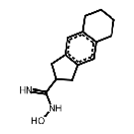 N=C(NO)C1Cc2cc3c(cc2C1)CCCC3